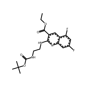 CCOC(=O)c1cc2c(F)cc(F)cc2nc1NCCNC(=O)OC(C)(C)C